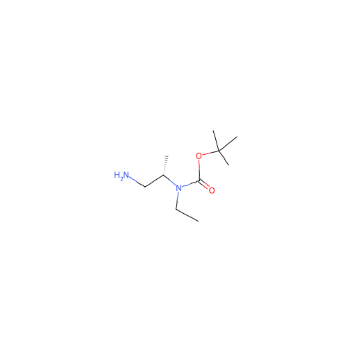 CCN(C(=O)OC(C)(C)C)[C@@H](C)CN